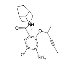 CC#CC(C)Oc1cc(N)c(Cl)cc1C(=O)NC1C2CCC1CN(C)C2